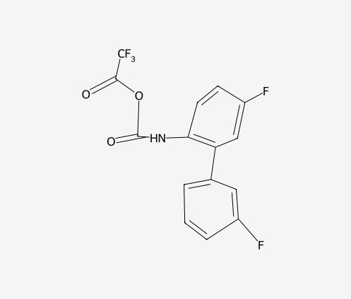 O=C(Nc1ccc(F)cc1-c1cccc(F)c1)OC(=O)C(F)(F)F